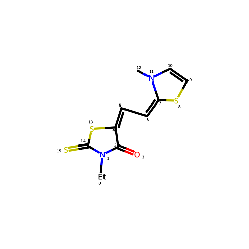 CCN1C(=O)/C(=C\C=C2\SC=CN2C)SC1=S